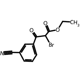 CCOC(=O)C(Br)C(=O)c1cccc(C#N)c1